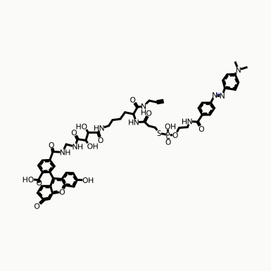 C#CCNC(=O)C(CCCCNC(=O)C(O)C(O)C(=O)NCNC(=O)c1ccc(C(=O)O)c(-c2c3ccc(=O)cc-3oc3cc(O)ccc23)c1)NC(=O)CCSP(=O)(O)OCCNC(=O)c1ccc(/N=N/c2ccc(N(C)C)cc2)cc1